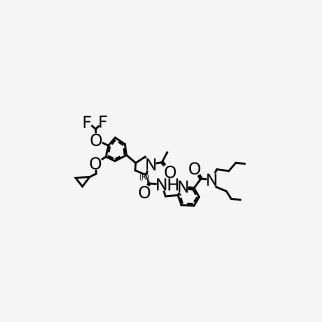 CCCCN(CCCC)C(=O)c1cccc(CNC(=O)[C@H]2CC(c3ccc(OC(F)F)c(OCC4CC4)c3)CN2C(C)=O)n1